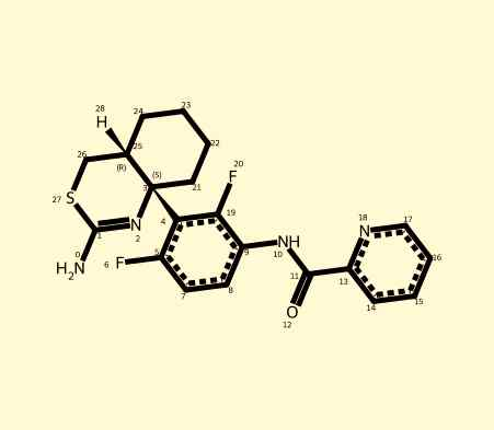 NC1=N[C@@]2(c3c(F)ccc(NC(=O)c4ccccn4)c3F)CCCC[C@H]2CS1